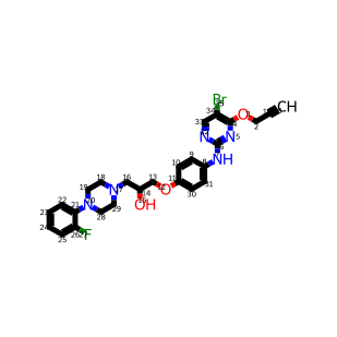 C#CCOc1nc(Nc2ccc(OCC(O)CN3CCN(c4ccccc4F)CC3)cc2)ncc1Br